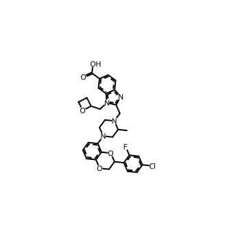 CC1CN(c2cccc3c2OC(c2ccc(Cl)cc2F)CO3)CCN1Cc1nc2ccc(C(=O)O)cc2n1CC1CCO1